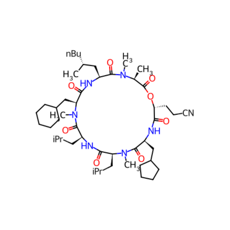 CCCC[C@@H](C)C[C@@H]1NC(=O)[C@H](CC2CCCCC2)N(C)C(=O)[C@H](CC(C)C)NC(=O)[C@H](CC(C)C)N(C)C(=O)[C@H](CC2CCCC2)NC(=O)[C@@H](CCC#N)OC(=O)[C@H](C)N(C)C1=O